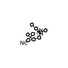 N#Cc1ccc2c(c1)-c1ccc(-c3cccc(-c4nc(-c5ccccc5)nc(-c5ccc(-c6ccccc6)cc5)n4)c3)cc1C2(c1ccccc1)c1ccccc1